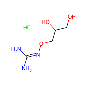 Cl.NC(N)=NOCC(O)CO